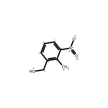 Cc1c([CH]O)cccc1[N+](=O)[O-]